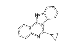 c1ccc2c(c1)nc(C1CC1)n1c3ccccc3nc21